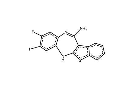 NC1=Nc2cc(F)c(F)cc2Nc2sc3ccccc3c21